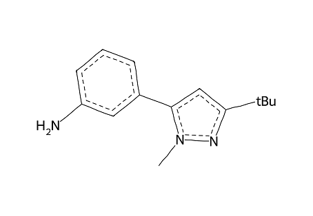 Cn1nc(C(C)(C)C)cc1-c1cccc(N)c1